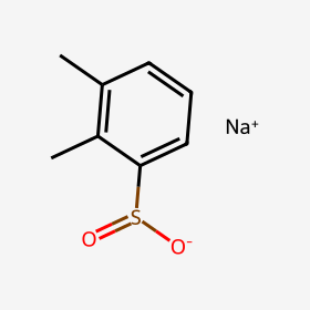 Cc1cccc(S(=O)[O-])c1C.[Na+]